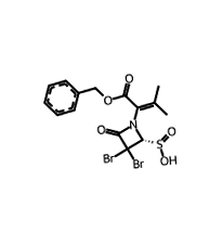 CC(C)=C(C(=O)OCc1ccccc1)N1C(=O)C(Br)(Br)[C@H]1S(=O)O